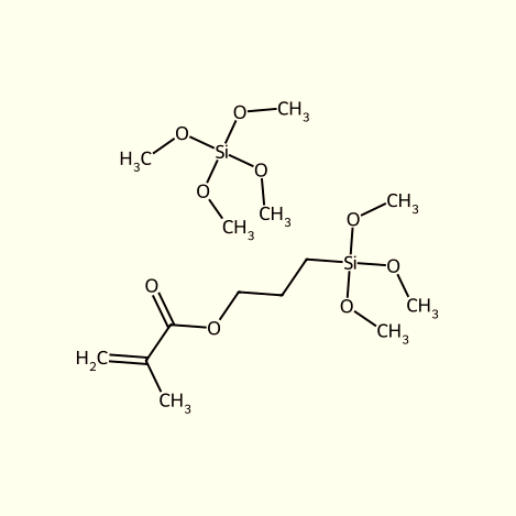 C=C(C)C(=O)OCCC[Si](OC)(OC)OC.CO[Si](OC)(OC)OC